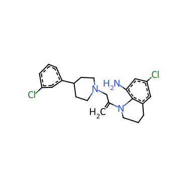 C=C(CN1CCC(c2cccc(Cl)c2)CC1)N1CCCc2cc(Cl)cc(N)c21